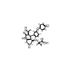 Cc1[nH]nc2c1C(c1cccc(Oc3ccc(Cl)cc3)c1)C1=C(CNCC1=O)N2.O=C(O)C(F)(F)F